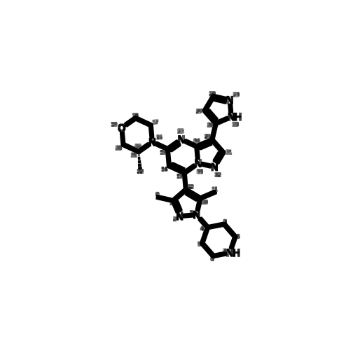 Cc1nn(C2CCNCC2)c(C)c1-c1cc(N2CCOC[C@H]2C)nc2c(-c3ccn[nH]3)cnn12